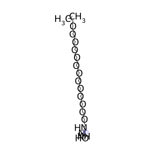 CC(C)CCOCCOCCOCCOCCOCCOCCOCCOCCOCCOCCOCCOCCOCCN/C=C(/CO)N=N